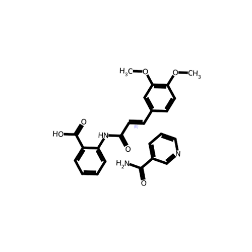 COc1ccc(/C=C/C(=O)Nc2ccccc2C(=O)O)cc1OC.NC(=O)c1cccnc1